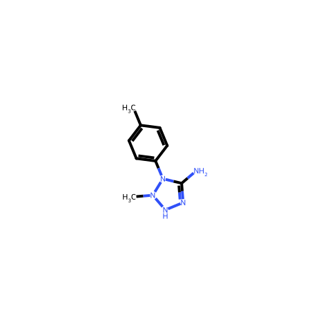 Cc1ccc(N2C(N)=NNN2C)cc1